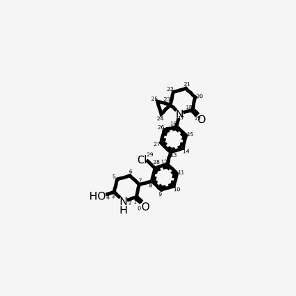 O=C1NC(O)CCC1c1cccc(-c2ccc(N3C(=O)CCCC34CC4)cc2)c1Cl